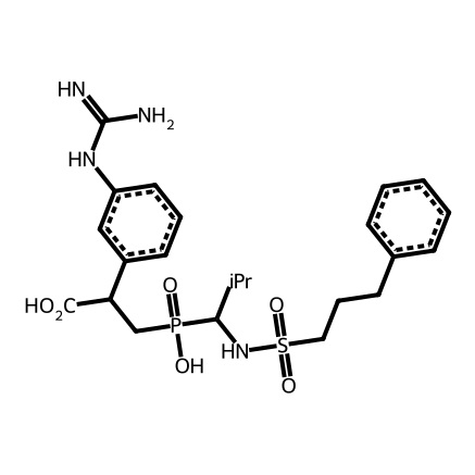 CC(C)C(NS(=O)(=O)CCCc1ccccc1)P(=O)(O)CC(C(=O)O)c1cccc(NC(=N)N)c1